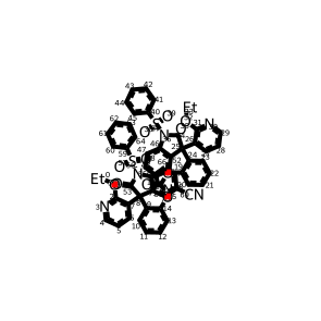 CCOc1ncccc1C1(c2ccccc2OC(=O)Oc2ccccc2C2(c3cccnc3OCC)C(=O)N(S(=O)(=O)c3ccccc3)c3ccc(C#N)cc32)C(=O)N(S(=O)(=O)c2ccccc2)c2ccc(C#N)cc21